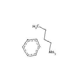 CCC[CH2][AlH2].c1ccccc1